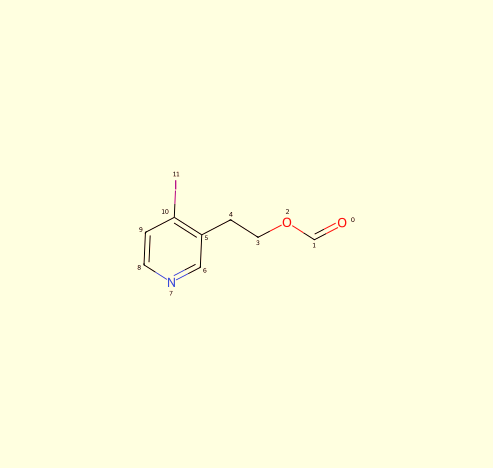 O=COCCc1cnccc1I